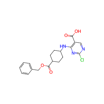 O=C(O)c1cnc(Cl)nc1NC1CCC(C(=O)OCc2ccccc2)CC1